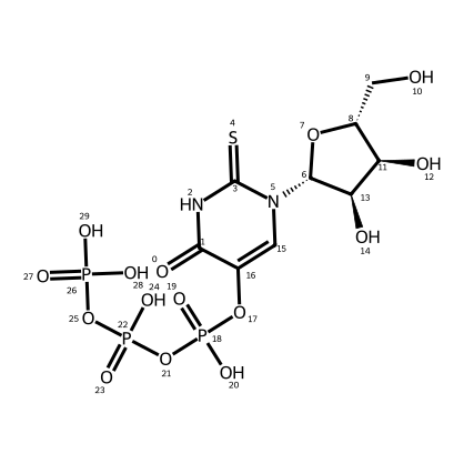 O=c1[nH]c(=S)n([C@@H]2O[C@H](CO)[C@@H](O)[C@H]2O)cc1OP(=O)(O)OP(=O)(O)OP(=O)(O)O